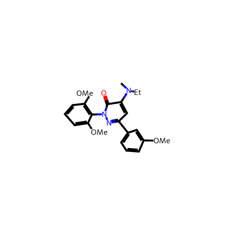 CCN(C)c1cc(-c2cccc(OC)c2)nn(-c2c(OC)cccc2OC)c1=O